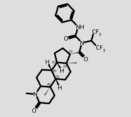 CN1C(=O)CC[C@@]2(C)C1CC[C@@H]1[C@@H]3CC[C@H](C(=O)N(C(=O)Nc4ccccc4)C(C(F)(F)F)C(F)(F)F)[C@@]3(C)CC[C@@H]12